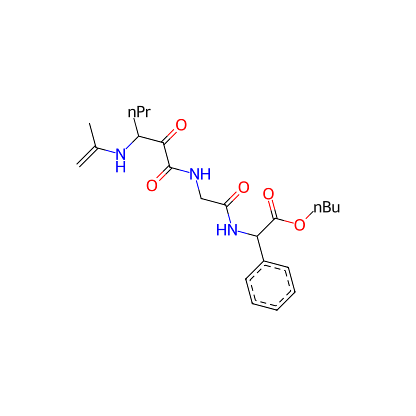 C=C(C)NC(CCC)C(=O)C(=O)NCC(=O)NC(C(=O)OCCCC)c1ccccc1